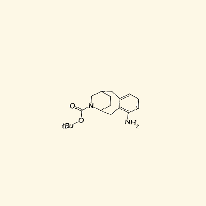 CC(C)(C)OC(=O)N1CC2CCC1Cc1c(N)cccc1C2